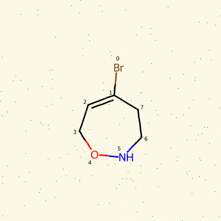 BrC1=CCONCC1